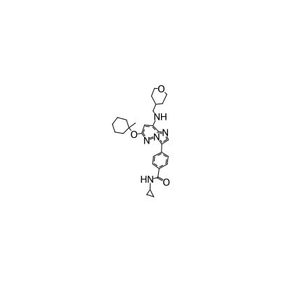 CC1(Oc2cc(NCC3CCOCC3)c3ncc(-c4ccc(C(=O)NC5CC5)cc4)n3n2)CCCCC1